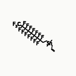 C=C[CH2][Sn]([CH3])([CH3])[CH2]CC(F)(F)C(F)(F)C(F)(F)C(F)(F)C(F)(F)C(F)(F)C(F)(F)C(F)(F)F